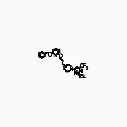 CC(C)(C)c1nc(N2CCCN(CCCOc3nccc(OCc4ccccc4)n3)CC2)cc(C(F)(F)F)n1